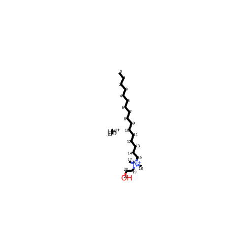 CCCCCCCCCCCCCCCC[N+](C)(C)CCO.[H+].[H+]